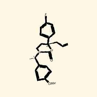 C=CC[C@]1(c2ccc(F)cc2)CCN([C@@H](C)c2ccc(OC)cc2)C(=O)O1